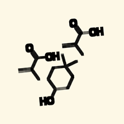 C=C(C)C(=O)O.C=C(C)C(=O)O.CC1(C)CCC(O)CC1